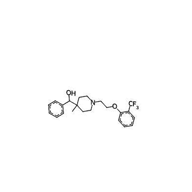 CC1(C(O)c2ccccc2)CCN(CCOc2ccccc2C(F)(F)F)CC1